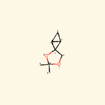 CC1(C)OCC2(O1)C1CC12